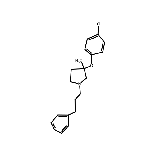 CC1(Oc2ccc(Cl)cc2)CCN(CCCc2ccccc2)C1